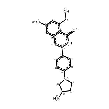 COc1cc(CO)c2c(=O)[nH]c(-c3ccc(N4CCC(N)C4)cc3)nc2c1